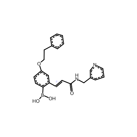 O=C(/C=C/c1cc(OCCc2ccccc2)ccc1B(O)O)NCc1cccnc1